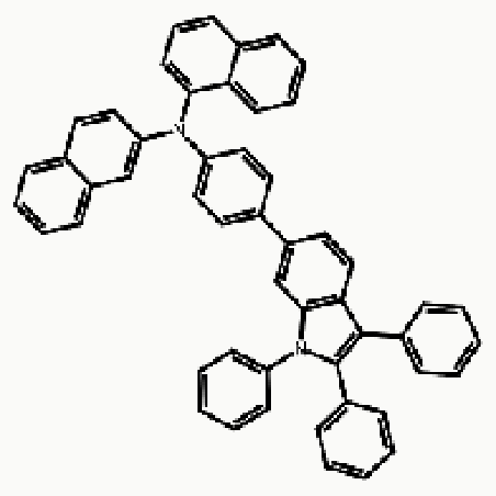 c1ccc(-c2c(-c3ccccc3)n(-c3ccccc3)c3cc(-c4ccc(N(c5ccc6ccccc6c5)c5cccc6ccccc56)cc4)ccc23)cc1